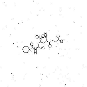 COC(=O)CCC(=O)C(C#N)c1ccc(NC(=O)C2(C)CCCCC2)cc1[N+](=O)[O-]